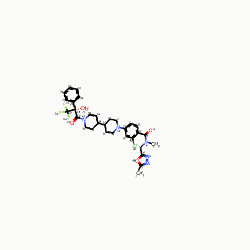 Cc1nnc(CN(C)C(=O)c2ccc(N3CCC(C4CCN(C(=O)[C@](O)(c5ccccc5)C(F)(F)F)CC4)CC3)cc2Cl)o1